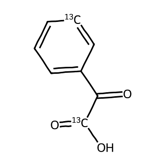 O=C(c1ccc[13cH]c1)[13C](=O)O